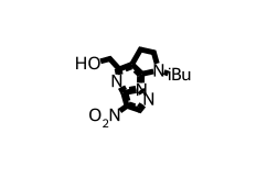 CCC(C)N1CCc2c(CO)nc3c([N+](=O)[O-])cnn3c21